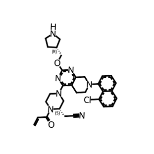 C=CC(=O)N1CCN(c2nc(OC[C@@H]3CCNC3)nc3c2CCN(c2cccc4cccc(Cl)c24)C3)C[C@@H]1CC#N